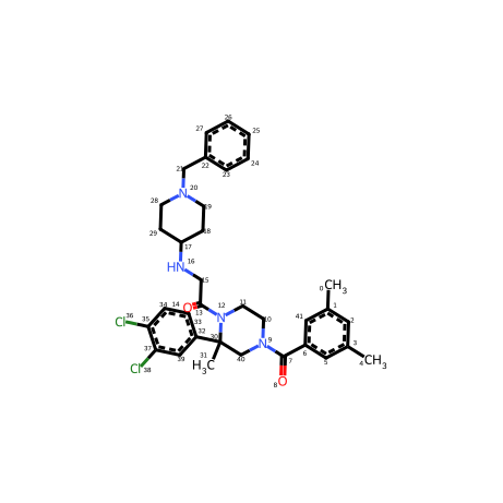 Cc1cc(C)cc(C(=O)N2CCN(C(=O)CNC3CCN(Cc4ccccc4)CC3)C(C)(c3ccc(Cl)c(Cl)c3)C2)c1